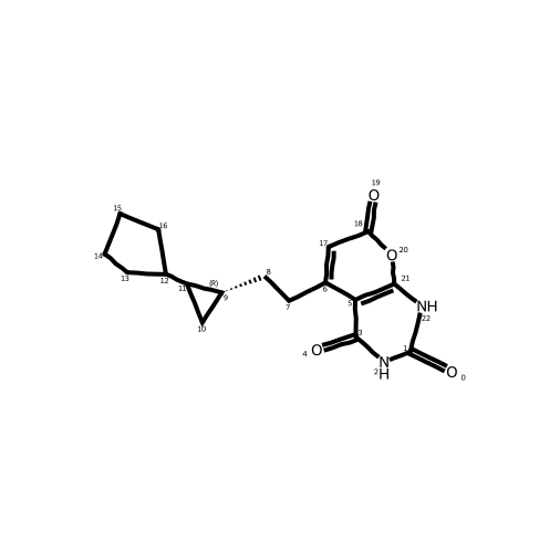 O=c1[nH]c(=O)c2c(CC[C@@H]3CC3C3CCCC3)cc(=O)oc2[nH]1